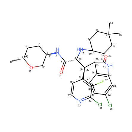 C[C@@H]1CC[C@@H](NC(=O)[C@@H]2NC3(CCC(C)(C)CC3)[C@@]3(C(=O)Nc4cc(Cl)ccc43)[C@H]2c2ccnc(Cl)c2F)CO1